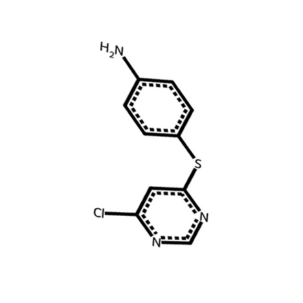 Nc1ccc(Sc2cc(Cl)ncn2)cc1